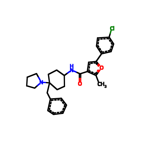 Cc1oc(-c2ccc(Cl)cc2)cc1C(=O)NC1CCC(Cc2ccccc2)(N2CCCC2)CC1